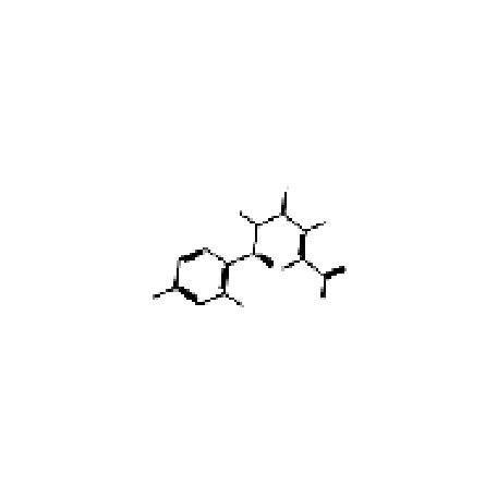 NC1C(Cl)=C(C(=O)O)N=C(c2ccc(Br)cc2F)C1F